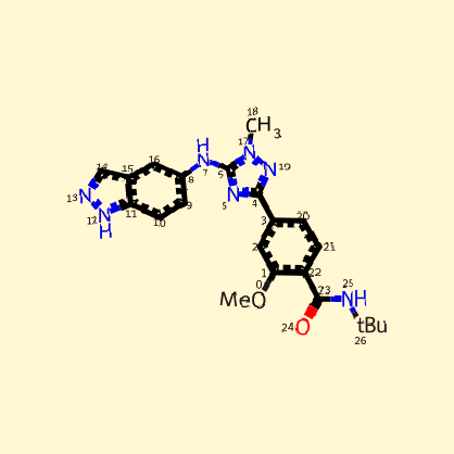 COc1cc(-c2nc(Nc3ccc4[nH]ncc4c3)n(C)n2)ccc1C(=O)NC(C)(C)C